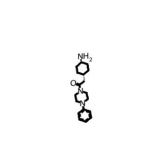 N[C@H]1CC[C@H](CC(=O)N2CCN(c3ccccc3)CC2)CC1